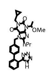 CCCc1nc2c(c(=O)n(CC3CC3)c(=O)n2C(C)OC)n1Cc1ccc(-c2ccccc2-c2nnn[nH]2)cc1